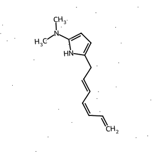 C=C/C=C\C=CCc1ccc(N(C)C)[nH]1